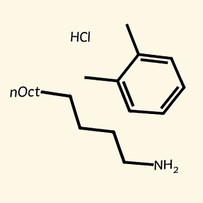 CCCCCCCCCCCCN.Cc1ccccc1C.Cl